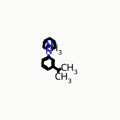 CC(C)c1cccc(N2CC3CC(C2)N3C)c1